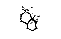 O=S1(=O)CCC2CCCCC2(O)C1